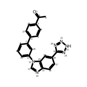 CC(=O)c1ccc(-c2cccc(-n3cnc4ccc(-c5nn[nH]n5)cc43)c2)cc1